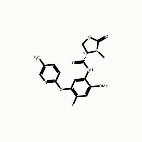 COc1cc(F)c(Oc2ccc(C(F)(F)F)cn2)cc1NC(=O)[C@@H]1COC(=O)N1C